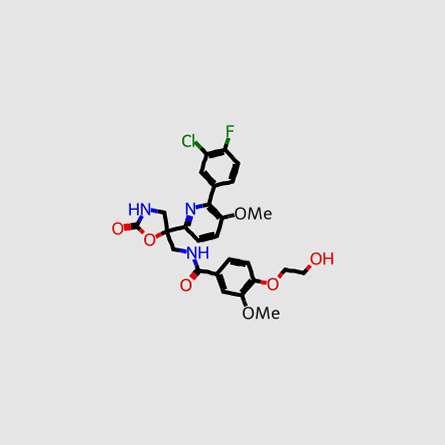 COc1cc(C(=O)NCC2(c3ccc(OC)c(-c4ccc(F)c(Cl)c4)n3)CNC(=O)O2)ccc1OCCO